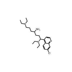 CCN(CC)CCCC(N)CCC(c1ccnc2cc(Cl)ccc12)N(CC)CC